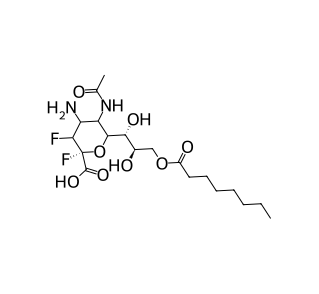 CCCCCCCC(=O)OC[C@@H](O)[C@@H](O)C1O[C@@](F)(C(=O)O)C(F)C(N)C1NC(C)=O